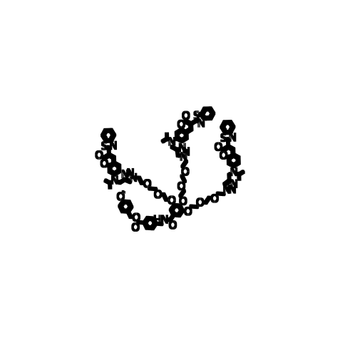 COc1ccc(COC(=O)c2ccc(CNC(=O)c3cc(OCCOCCOCCn4cc(CN(c5ccc6cc(-c7nc8ccccc8s7)c(=O)oc6c5)C(C)C)nn4)c(OCCOCCOCCN4CC(CN(c5ccc6cc(-c7nc8ccccc8s7)c(=O)oc6c5)C(C)C)N=N4)c(OCCOCCOCCn4cc(CN(c5ccc6cc(-c7nc8ccccc8s7)c(=O)oc6c5)C(C)C)nn4)c3)cc2)cc1